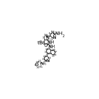 CC(C)(C)c1cnn(-c2cnc(N)nc2)c1NC(=O)Nc1ccc(-c2ccc(CN3CCOCC3)nc2)c2ccccc12